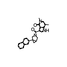 Cc1cn(C)c(=O)c2c(C(=O)N3CC4CC4(c4ccc5ccccc5c4)C3)c[nH]c12